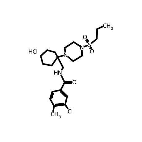 CCCS(=O)(=O)N1CCN(C2(CNC(=O)c3ccc(C)c(Cl)c3)CCCCC2)CC1.Cl